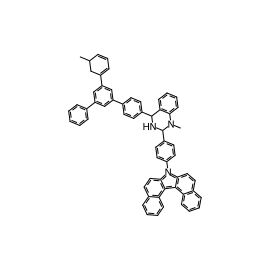 CC1C=CC=C(c2cc(-c3ccccc3)cc(-c3ccc(C4NC(c5ccc(-n6c7ccc8ccccc8c7c7c8ccccc8ccc76)cc5)N(C)c5ccccc54)cc3)c2)C1